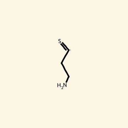 NCC[C]=S